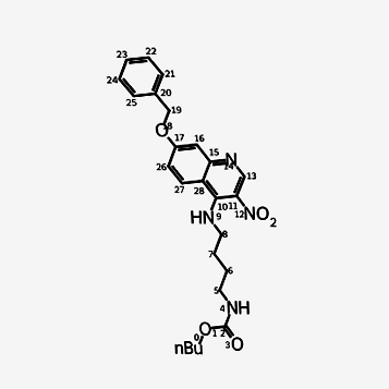 CCCCOC(=O)NCCCCNc1c([N+](=O)[O-])cnc2cc(OCc3ccccc3)ccc12